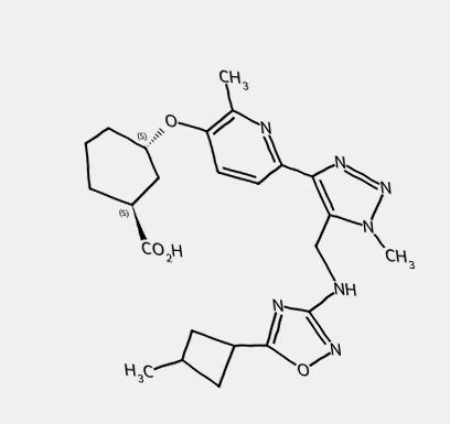 Cc1nc(-c2nnn(C)c2CNc2noc(C3CC(C)C3)n2)ccc1O[C@H]1CCC[C@H](C(=O)O)C1